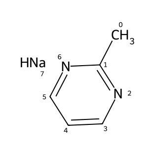 Cc1ncccn1.[NaH]